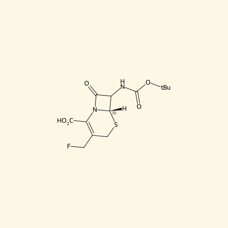 CC(C)(C)OC(=O)NC1C(=O)N2C(C(=O)O)=C(CF)CS[C@@H]12